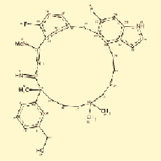 CN/C1=N\C(=N)[C@@](C)(c2cccc(CO)c2)CCCC(C)(C)CSCCc2c(c(F)cc3[nH]ccc23)Sc2ccc(F)c1c2